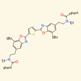 CCCCCC(=O)N(CC)CCc1cc(C(C)(C)C)c2oc(-c3ccc(-c4nc5cc(CCN(CC)C(=O)CCCCC)cc(C(C)(C)C)c5o4)s3)nc2c1